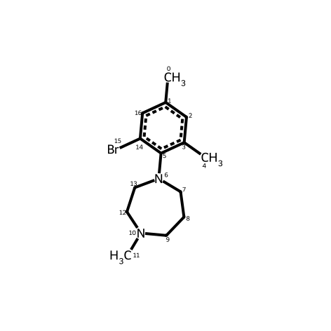 Cc1cc(C)c(N2CCCN(C)CC2)c(Br)c1